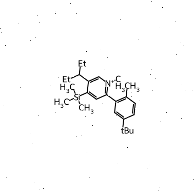 CCC(CC)c1c[n+](C)c(-c2cc(C(C)(C)C)ccc2C)cc1[Si](C)(C)C